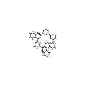 c1ccc(-c2cccc(-c3nc(-c4cccc(-c5nc6ccccc6c6c5ccc5ccccc56)c4)c4ccccc4n3)c2)cc1